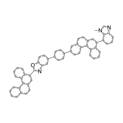 Cn1cnc2cccc(-c3cc4ccc5cc(-c6ccc(-c7ccc8oc(-c9cc%10ccc%11ccccc%11c%10c%10ccccc9%10)nc8c7)cc6)ccc5c4c4ccccc34)c21